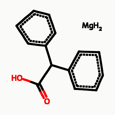 O=C(O)C(c1ccccc1)c1ccccc1.[MgH2]